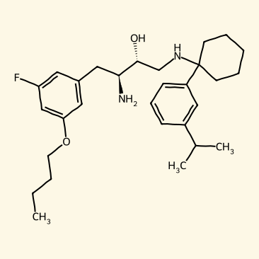 CCCCOc1cc(F)cc(C[C@H](N)[C@H](O)CNC2(c3cccc(C(C)C)c3)CCCCC2)c1